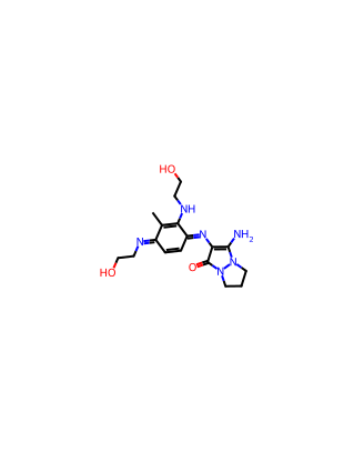 CC1=C(NCCO)C(=Nc2c(N)n3n(c2=O)CCC3)C=CC1=NCCO